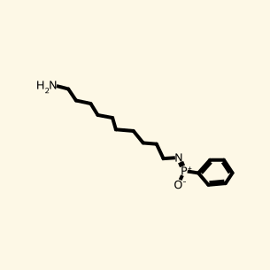 NCCCCCCCCCCN=[P+]([O-])c1ccccc1